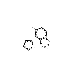 Fc1ccc2nsnc2c1.c1ccsc1